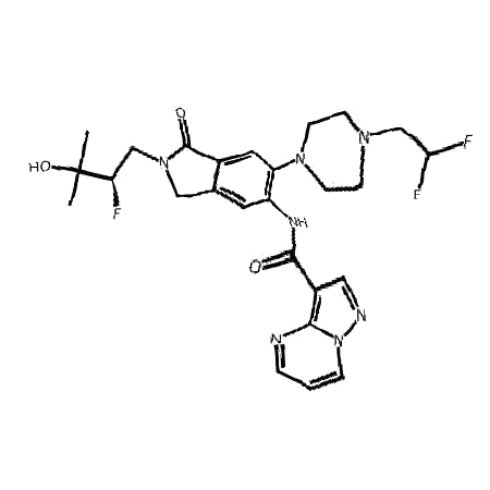 CC(C)(O)[C@H](F)CN1Cc2cc(NC(=O)c3cnn4cccnc34)c(N3CCN(CC(F)F)CC3)cc2C1=O